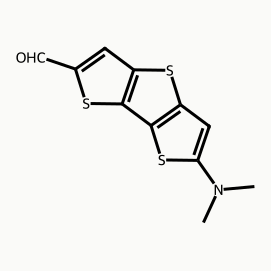 CN(C)c1cc2sc3cc(C=O)sc3c2s1